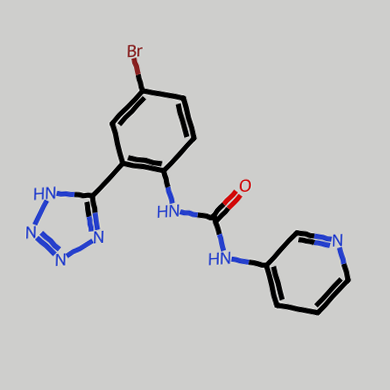 O=C(Nc1cccnc1)Nc1ccc(Br)cc1-c1nnn[nH]1